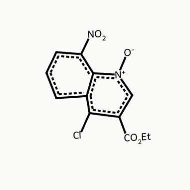 CCOC(=O)c1c[n+]([O-])c2c([N+](=O)[O-])cccc2c1Cl